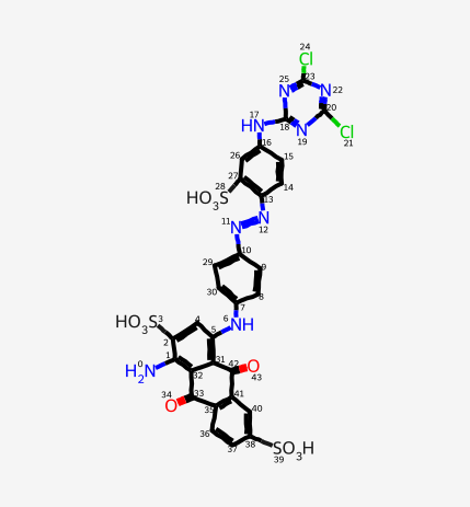 Nc1c(S(=O)(=O)O)cc(Nc2ccc(/N=N/c3ccc(Nc4nc(Cl)nc(Cl)n4)cc3S(=O)(=O)O)cc2)c2c1C(=O)c1ccc(S(=O)(=O)O)cc1C2=O